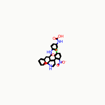 O=C(O)Nc1ccc(NC(=O)C(Cc2ccccc2)c2c(-c3cc(Cl)ccc3[N+](=O)[O-])cc[nH]c2=O)cc1